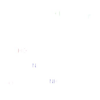 O=C1CNC(c2ccc(F)c(Cl)c2)N1O